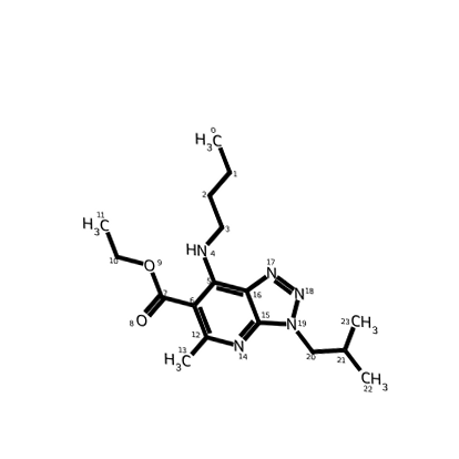 CCCCNc1c(C(=O)OCC)c(C)nc2c1nnn2CC(C)C